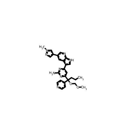 CCCC(OCOC)(c1ccncc1)c1cc(-c2c[nH]c3ncc(-c4cnn(C)c4)cc23)nc(N)n1